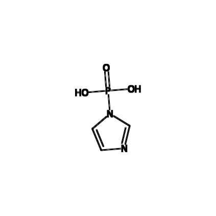 O=P(O)(O)n1ccnc1